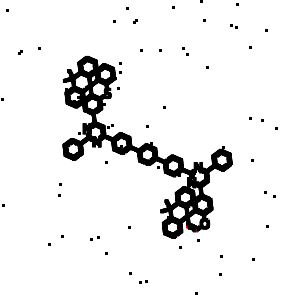 CC1(C)c2ccccc2C2(c3ccccc3Oc3ccc(-c4cc(-c5ccccc5)nc(-c5ccc(-c6ccc(-c7ccc(-c8cc(-c9ccc%10c(c9)Sc9ccccc9C%109c%10ccccc%10C(C)(C)c%10ccccc%109)nc(-c9ccccc9)n8)cc7)cc6)cc5)n4)cc32)c2ccccc21